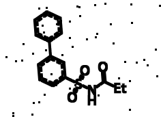 CCC(=O)NS(=O)(=O)c1cccc(-c2ccccc2)c1